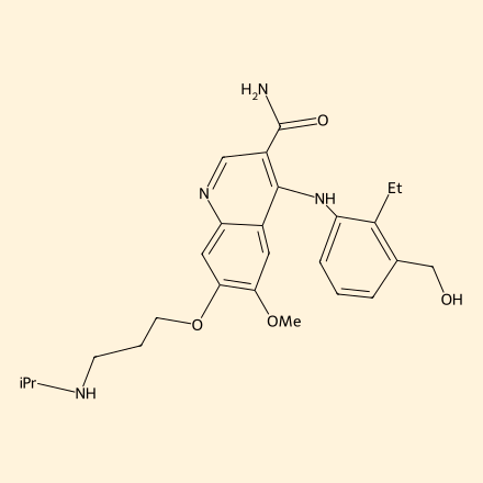 CCc1c(CO)cccc1Nc1c(C(N)=O)cnc2cc(OCCCNC(C)C)c(OC)cc12